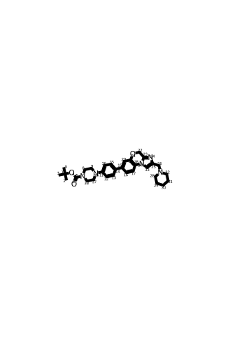 CC(C)(C)OC(=O)N1CCN(c2ccc(-c3ccc4c(c3)OCc3nc(CN5CCCCC5)cn3-4)cc2)CC1